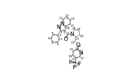 O=C(c1c(-c2ccccc2)nn2ccccc12)N1CCCC1COc1ccc(C(F)(F)F)cn1